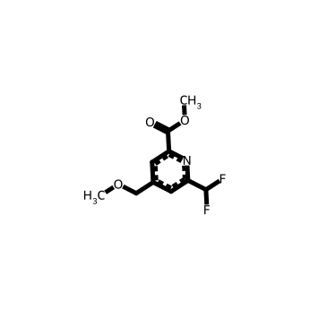 COCc1cc(C(=O)OC)nc(C(F)F)c1